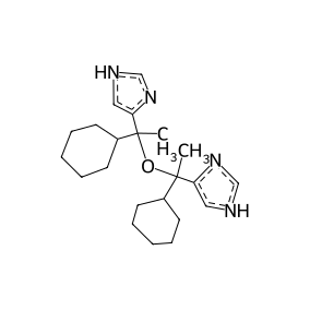 CC(OC(C)(c1c[nH]cn1)C1CCCCC1)(c1c[nH]cn1)C1CCCCC1